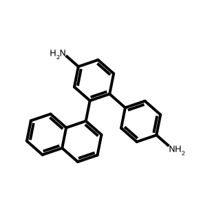 Nc1ccc(-c2ccc(N)cc2-c2cccc3ccccc23)cc1